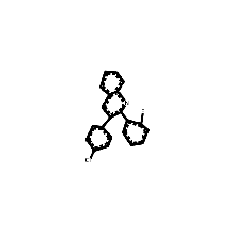 Fc1ccccc1-c1nc2ccccc2cc1-c1ccc(Cl)cc1